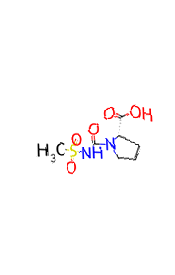 CS(=O)(=O)NC(=O)N1CCC[C@H]1C(=O)O